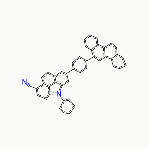 N#Cc1ccc2c3c1ccc1cc(-c4ccc(-c5cc6c7ccccc7ccc6c6ccccc56)cc4)cc(c13)n2-c1ccccc1